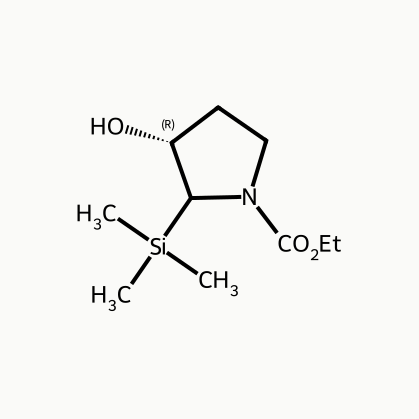 CCOC(=O)N1CC[C@@H](O)C1[Si](C)(C)C